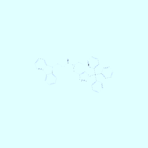 O=C(O)CN(Cc1cn(C(c2ccccc2)(c2ccccc2)c2ccccc2)cn1)C(=O)OCC1c2ccccc2-c2ccccc21